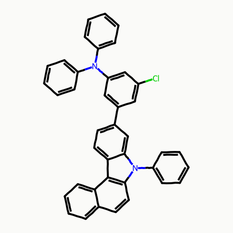 Clc1cc(-c2ccc3c4c5ccccc5ccc4n(-c4ccccc4)c3c2)cc(N(c2ccccc2)c2ccccc2)c1